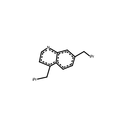 CC(C)Cc1ccc2c(CC(C)C)ccnc2c1